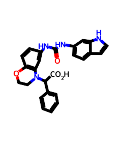 O=C(Nc1ccc2c(c1)N(C(C(=O)O)c1ccccc1)CCO2)Nc1ccc2cc[nH]c2c1